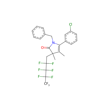 CC1=C(c2cccc(Cl)c2)N(Cc2ccccc2)C(=O)C1(C)CC(F)(F)C(F)(F)C(F)(F)C(F)(F)F